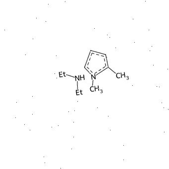 CCNCC.Cc1cccn1C